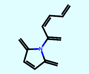 C=C/C=C\C(=C)n1c(=C)ccc1=C